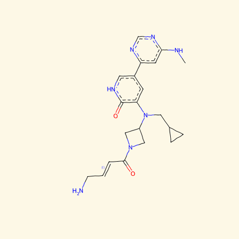 CNc1cc(-c2c[nH]c(=O)c(N(CC3CC3)C3CN(C(=O)/C=C/CN)C3)c2)ncn1